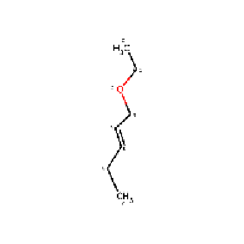 C[C]OCC=CCC